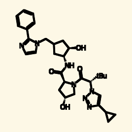 CC(C)(C)[C@@H](C(=O)N1C[C@H](O)C[C@H]1C(=O)N[C@@H]1CC(Cn2ccnc2-c2ccccc2)C[C@H]1O)n1cc(C2CC2)nn1